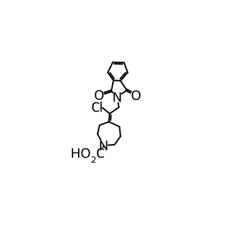 O=C(O)N1CCCC(=C(Cl)CN2C(=O)c3ccccc3C2=O)CC1